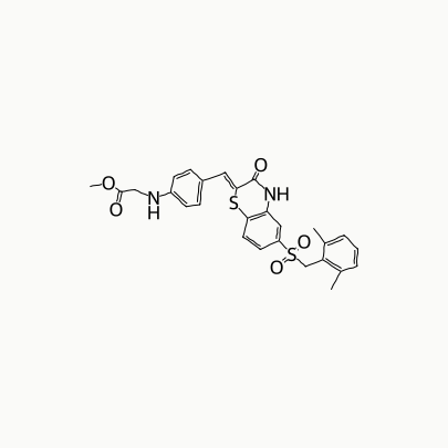 COC(=O)CNc1ccc(/C=C2\Sc3ccc(S(=O)(=O)Cc4c(C)cccc4C)cc3NC2=O)cc1